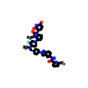 CN(C[C@H]1CC[C@H](n2cc3cc(NC(=O)c4cccc(C(F)(F)F)n4)ccc3n2)CC1)C1CCN(c2cccc3c2n(C)c(=O)n3C2CCC(=O)NC2=O)CC1F